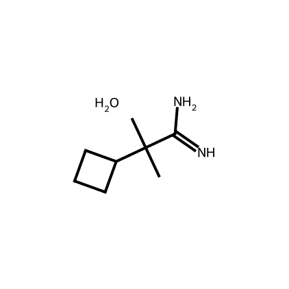 CC(C)(C(=N)N)C1CCC1.O